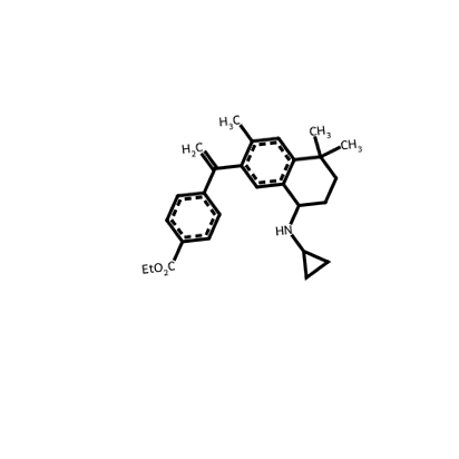 C=C(c1ccc(C(=O)OCC)cc1)c1cc2c(cc1C)C(C)(C)CCC2NC1CC1